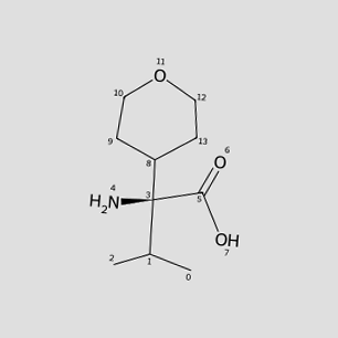 CC(C)[C@@](N)(C(=O)O)C1CCOCC1